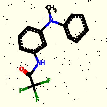 CN(c1ccccc1)c1cccc(NC(=O)C(F)(F)F)c1